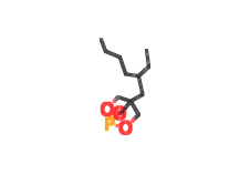 CCCCC(CC)CC12COP(OC1)OC2